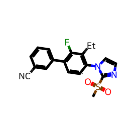 CCc1c(-n2ccnc2S(C)(=O)=O)[c]cc(-c2cccc(C#N)c2)c1F